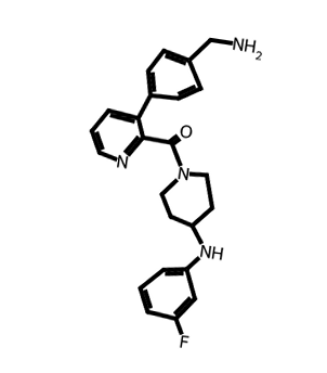 NCc1ccc(-c2cccnc2C(=O)N2CCC(Nc3cccc(F)c3)CC2)cc1